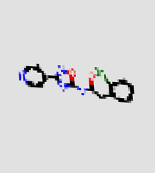 O=C(Cc1ccccc1Br)Nc1nc(-c2ccncc2)no1